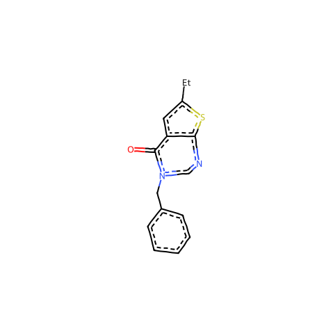 CCc1cc2c(=O)n(Cc3ccccc3)cnc2s1